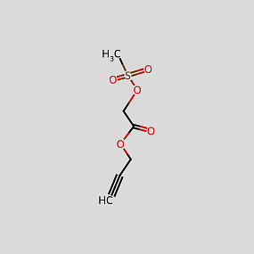 C#CCOC(=O)COS(C)(=O)=O